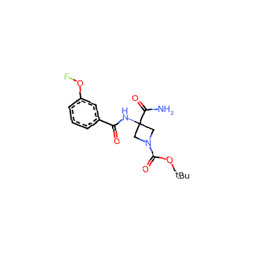 CC(C)(C)OC(=O)N1CC(NC(=O)c2cccc(OF)c2)(C(N)=O)C1